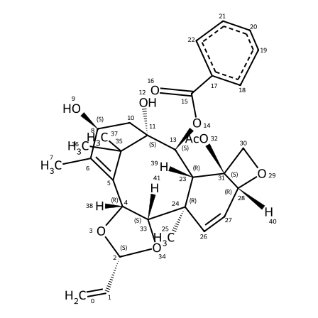 C=C[C@@H]1O[C@@H]2C3=C(C)[C@@H](O)C[C@@](O)([C@@H](OC(=O)c4ccccc4)[C@H]4[C@@](C)(C=C[C@H]5OC[C@]54OC(C)=O)[C@@H]2O1)C3(C)C